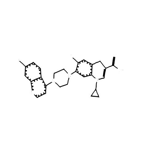 O=C(O)C1=CN(C2CC2)c2cc(N3CCN(c4ccnc5cc(Cl)ccc45)CC3)c(F)cc2C1